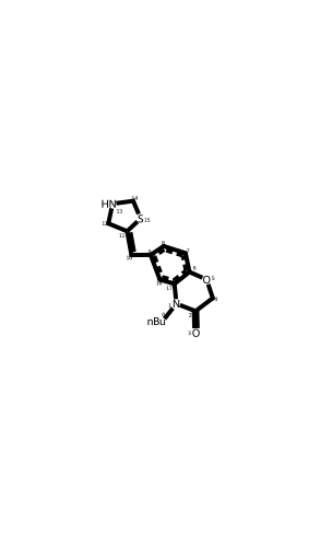 CCCCN1C(=O)COc2ccc(C=C3CNCS3)cc21